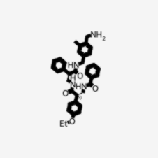 CCOc1ccc([C@@H](CNC(=O)c2ccccc2)C(=O)NC[C@H](C(=O)NCc2ccc(CN)c(C)c2)c2ccccc2)cc1